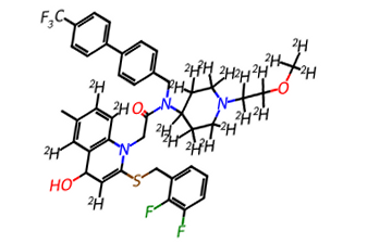 [2H]C1=C(SCc2cccc(F)c2F)N(CC(=O)N(Cc2ccc(-c3ccc(C(F)(F)F)cc3)cc2)C2([2H])C([2H])([2H])C([2H])([2H])N(C([2H])([2H])C([2H])([2H])OC([2H])([2H])[2H])C([2H])([2H])C2([2H])[2H])c2c([2H])c([2H])c(C)c([2H])c2C1O